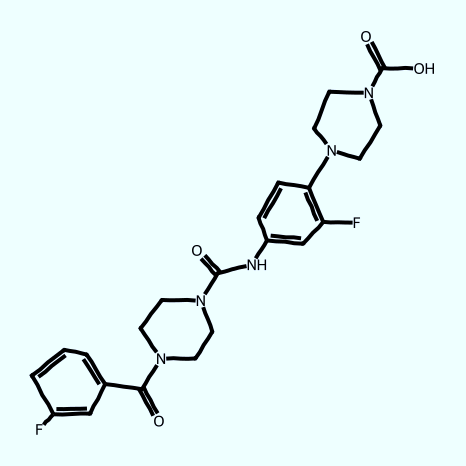 O=C(O)N1CCN(c2ccc(NC(=O)N3CCN(C(=O)c4cccc(F)c4)CC3)cc2F)CC1